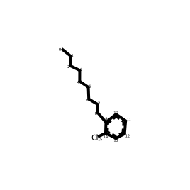 CCCCCCCCCc1ccc[c]c1Cl